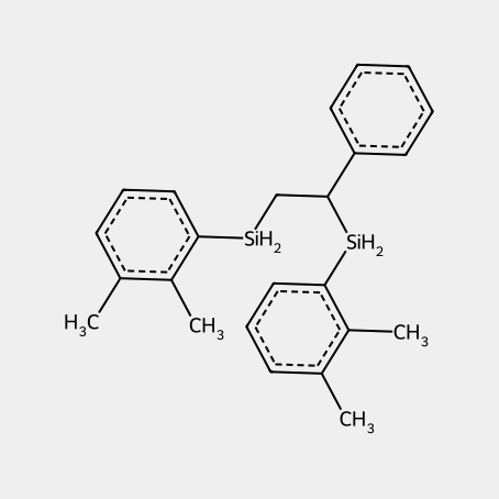 Cc1cccc([SiH2]CC([SiH2]c2cccc(C)c2C)c2ccccc2)c1C